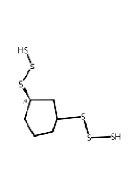 SSSC1CCC[C@@H](SSS)C1